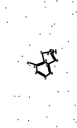 Cc1cccc2c1C[SH]=C2